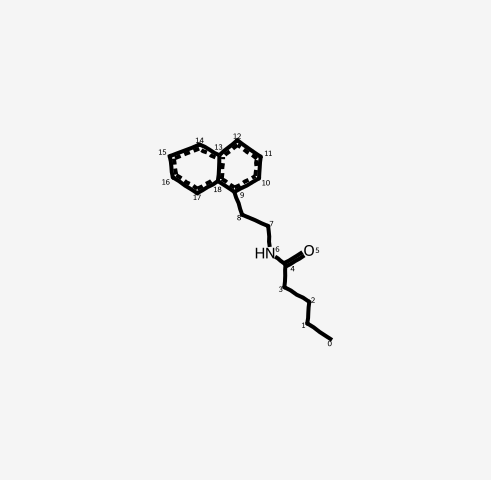 CCCCC(=O)NCCc1cccc2ccccc12